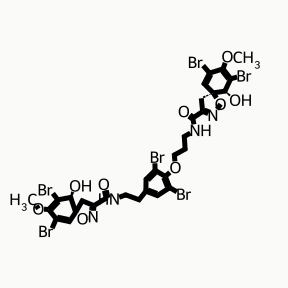 COC1=C(Br)[C@@H](O)C2(C=C1Br)CC(C(=O)NCCc1cc(Br)c(OCCCNC(=O)C3=NO[C@]4(C=C(Br)C(OC)=C(Br)[C@@H]4O)C3)c(Br)c1)=NO2